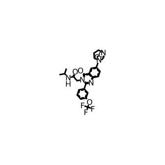 CC(C)NC(=O)Cn1c(-c2cccc(OC(F)(F)F)c2)nc2ccc(N3CCN4CCC3CC4)cc2c1=O